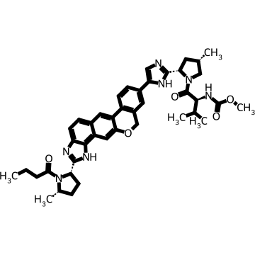 CCCC(=O)N1[C@@H](C)CC[C@H]1c1nc2ccc3cc4c(cc3c2[nH]1)OCc1cc(-c2cnc([C@@H]3C[C@H](C)CN3C(=O)[C@@H](NC(=O)OC)C(C)C)[nH]2)ccc1-4